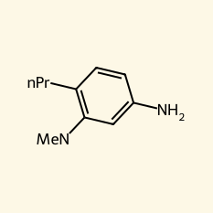 CCCc1ccc(N)cc1NC